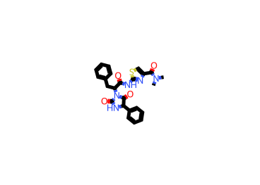 CN(C)C(=O)c1csc(NC(=O)C(Cc2ccccc2)N2C(=O)NC(c3ccccc3)C2=O)n1